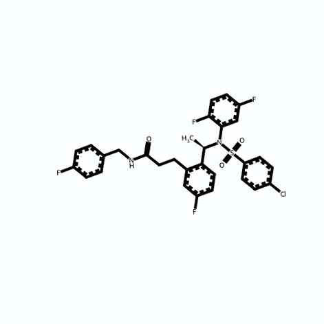 C[C@H](c1ccc(F)cc1CCC(=O)NCc1ccc(F)cc1)N(c1cc(F)ccc1F)S(=O)(=O)c1ccc(Cl)cc1